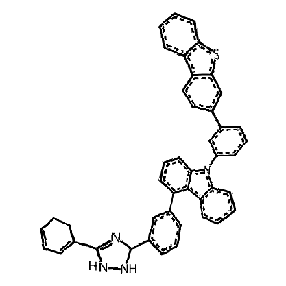 C1=CCCC(C2=NC(c3cccc(-c4cccc5c4c4ccccc4n5-c4cccc(-c5ccc6c(c5)sc5ccccc56)c4)c3)NN2)=C1